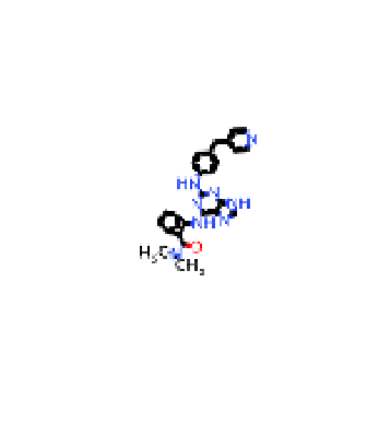 CN(C)C(=O)C1C2C=CC(C2)C1Nc1nc(Nc2ccc(Cc3ccncc3)cc2)nc2[nH]cnc12